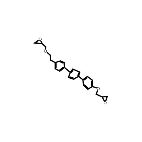 c1cc(-c2ccc(-c3ccc(OCC4CO4)cc3)cc2)ccc1CCOCC1CO1